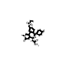 CCS(=O)(=O)Cc1ccc2c(c1)-c1cn(C)c(=O)cc1[C@H](CC(N)=O)N=C2c1ccc(F)cc1